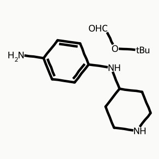 CC(C)(C)OC=O.Nc1ccc(NC2CCNCC2)cc1